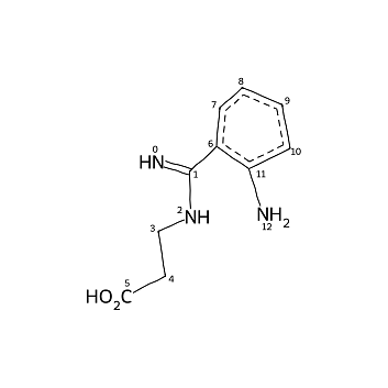 N=C(NCCC(=O)O)c1ccccc1N